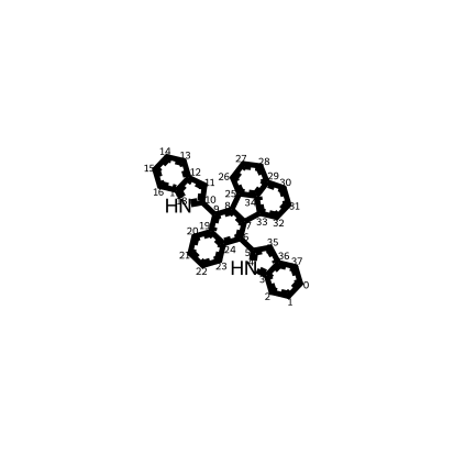 c1ccc2[nH]c(-c3c4c(c(-c5cc6ccccc6[nH]5)c5ccccc35)-c3cccc5cccc-4c35)cc2c1